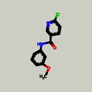 COc1cccc(NC(=O)c2ccc(Cl)nc2)c1